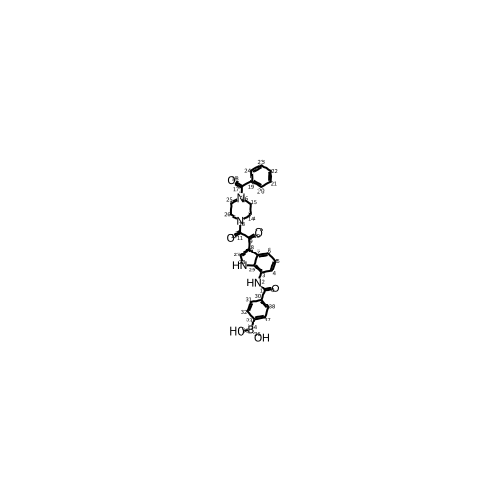 O=C(Nc1cccc2c(C(=O)C(=O)N3CCN(C(=O)c4ccccc4)CC3)c[nH]c12)c1ccc(B(O)O)cc1